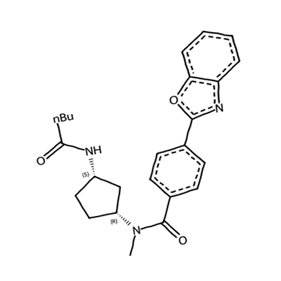 CCCCC(=O)N[C@H]1CC[C@@H](N(C)C(=O)c2ccc(-c3nc4ccccc4o3)cc2)C1